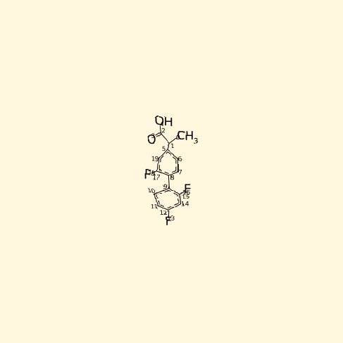 CC(C(=O)O)c1ccc(-c2ccc(F)cc2F)c(F)c1